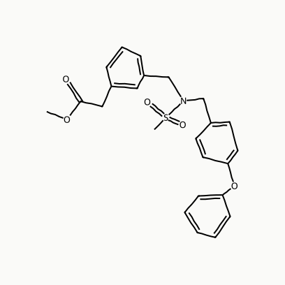 COC(=O)Cc1cccc(CN(Cc2ccc(Oc3ccccc3)cc2)S(C)(=O)=O)c1